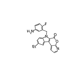 CCc1ccc2c(c1)c1c3cccnc3oc(=O)c1n2Cc1cc(N)ccc1F